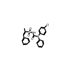 CC(=Cc1ccccc1)S(=O)(=O)NC(=O)N(c1ccccc1)c1ccc(Cl)cc1